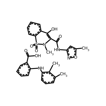 Cc1cc(NC(=O)C2=C(O)c3ccccc3S(=O)(=O)N2C)no1.Cc1cccc(Nc2ccccc2C(=O)O)c1C